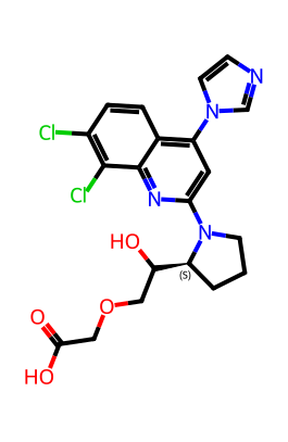 O=C(O)COCC(O)[C@@H]1CCCN1c1cc(-n2ccnc2)c2ccc(Cl)c(Cl)c2n1